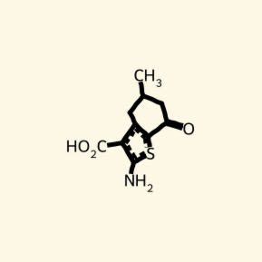 CC1CC(=O)c2sc(N)c(C(=O)O)c2C1